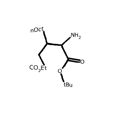 CCCCCCCCC(CC(=O)OCC)C(N)C(=O)OC(C)(C)C